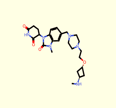 CN[C@H]1C[C@H](OCCN2CCN(Cc3ccc4c(c3)n(C)c(=O)n4C3CCC(=O)NC3=O)CC2)C1